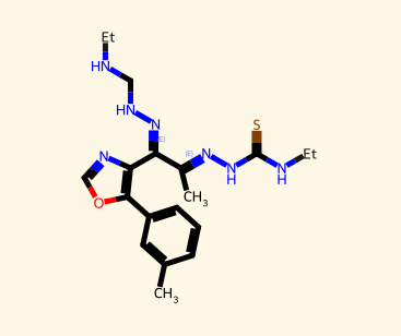 CCNCN/N=C(/C(C)=N/NC(=S)NCC)c1ncoc1-c1cccc(C)c1